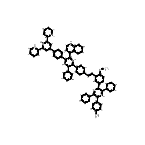 C=Nc1ccc(-c2nc(-c3ccccc3)c(-c3ccc(C#N)cc3)nc2-c2ccccc2)cc1/C=C/c1ccc(-c2nc(-c3ccnc4ccccc34)c(-c3ccc(-c4cc(-c5ccccn5)nc(-c5ccccn5)c4)cc3)nc2-c2ccccc2)cc1